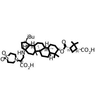 CCC(C)[C@@H]1CC[C@]2(NC[C@H](C(=O)O)N3CCS(=O)(=O)CC3)CC[C@]3(C)[C@H](CC[C@@H]4[C@@]5(C)CC[C@H](OC(=O)[C@H]6C[C@@H](C(=O)O)C6(C)C)C(C)(C)[C@@H]5CC[C@]43C)[C@@H]12